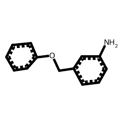 Nc1cccc(COc2ccccc2)c1